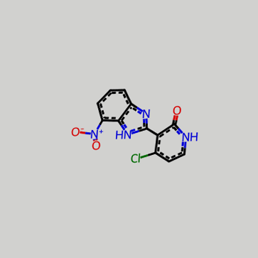 O=c1[nH]ccc(Cl)c1-c1nc2cccc([N+](=O)[O-])c2[nH]1